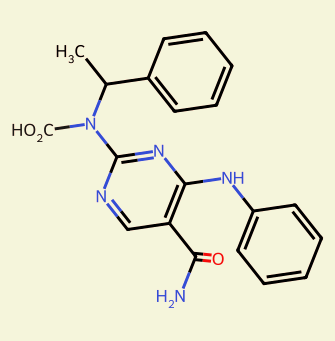 CC(c1ccccc1)N(C(=O)O)c1ncc(C(N)=O)c(Nc2ccccc2)n1